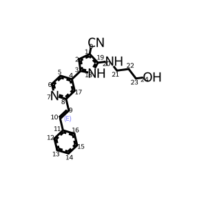 N#Cc1cc(-c2ccnc(/C=C/c3ccccc3)c2)[nH]c1NCCCO